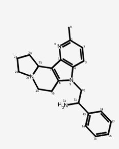 Cc1ccc2c(n1)c1c(n2CC(N)c2ccccc2)CCN2CCCC12